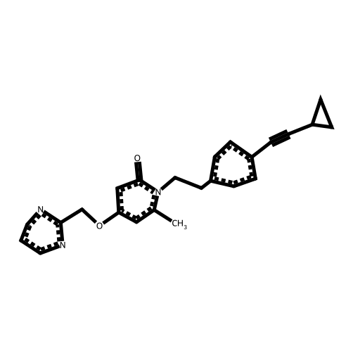 Cc1cc(OCc2ncccn2)cc(=O)n1CCc1ccc(C#CC2CC2)cc1